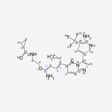 C=C/C(=C\C=C(/N)OCCNC(=O)C1CC1)c1ccc2ncc(-c3cnc(N)c(C(F)(F)F)c3)n2n1